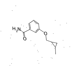 CC1CC1COc1cccc(C(N)=O)c1